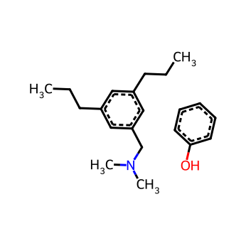 CCCc1cc(CCC)cc(CN(C)C)c1.Oc1ccccc1